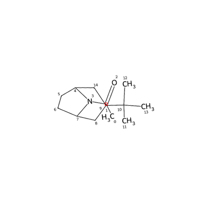 CC(=O)N1C2CCC1CC(C(C)(C)C)C2